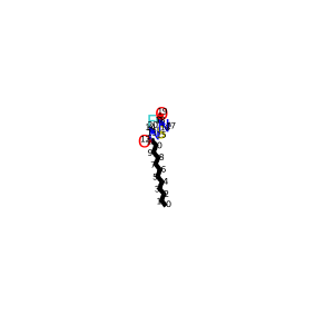 CCCCCCCCCCCC(=O)N(C)SN(C)C(=O)F